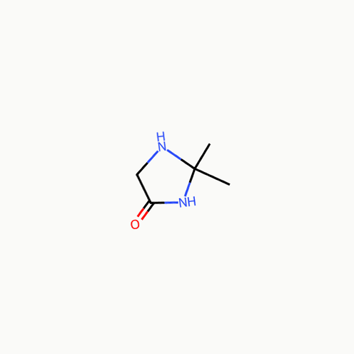 CC1(C)NCC(=O)N1